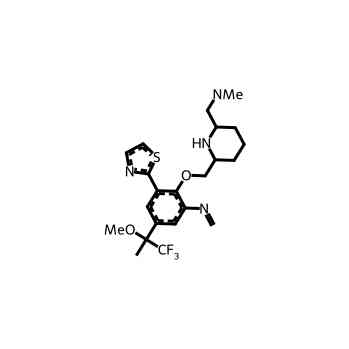 C=Nc1cc(C(C)(OC)C(F)(F)F)cc(-c2nccs2)c1OCC1CCCC(CNC)N1